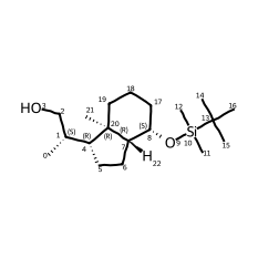 C[C@H](CO)[C@H]1CC[C@H]2[C@@H](O[Si](C)(C)C(C)(C)C)CCC[C@]12C